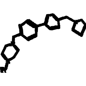 CC(C)N1CCN(Cc2ccc(-c3ccc(CN4CCCC4)cc3)cn2)CC1